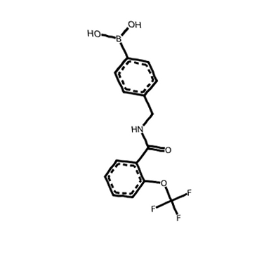 O=C(NCc1ccc(B(O)O)cc1)c1ccccc1OC(F)(F)F